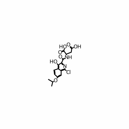 CC(C)Oc1ccc2c(O)c(C(=O)NC(CC(=O)O)C(=O)O)nc(Cl)c2c1